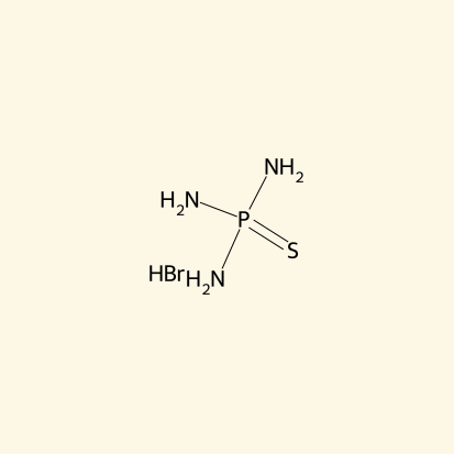 Br.NP(N)(N)=S